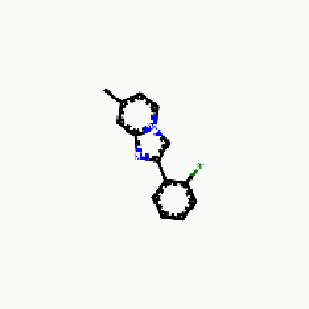 Cc1ccn2cc(-c3ccccc3Br)nc2c1